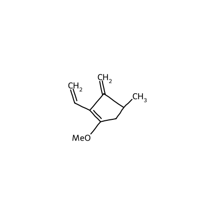 C=CC1=C(OC)CC(C)C1=C